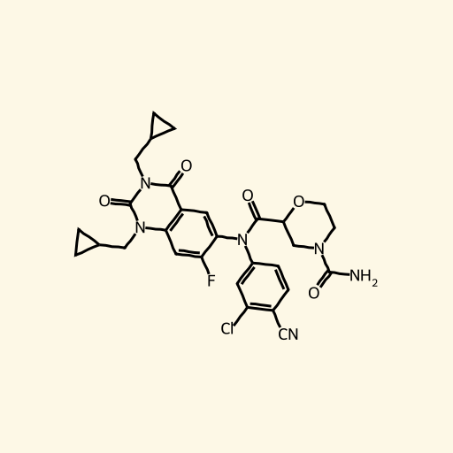 N#Cc1ccc(N(C(=O)C2CN(C(N)=O)CCO2)c2cc3c(=O)n(CC4CC4)c(=O)n(CC4CC4)c3cc2F)cc1Cl